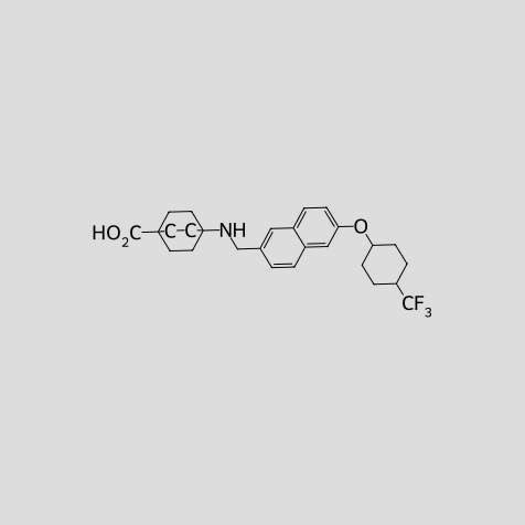 O=C(O)C12CCC(NCc3ccc4cc(OC5CCC(C(F)(F)F)CC5)ccc4c3)(CC1)CC2